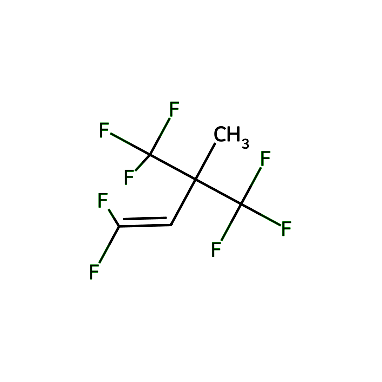 CC(C=C(F)F)(C(F)(F)F)C(F)(F)F